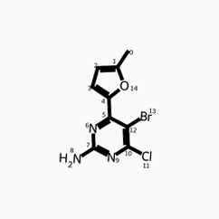 Cc1ccc(-c2nc(N)nc(Cl)c2Br)o1